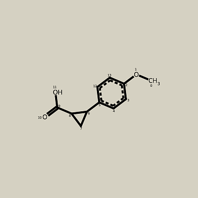 COc1ccc(C2CC2C(=O)O)cc1